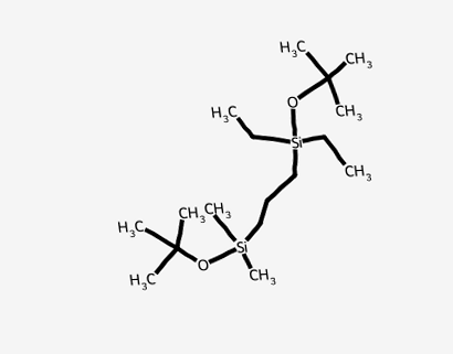 CC[Si](CC)(CCC[Si](C)(C)OC(C)(C)C)OC(C)(C)C